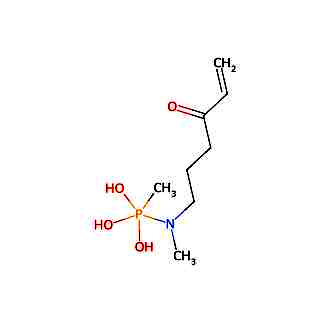 C=CC(=O)CCCN(C)P(C)(O)(O)O